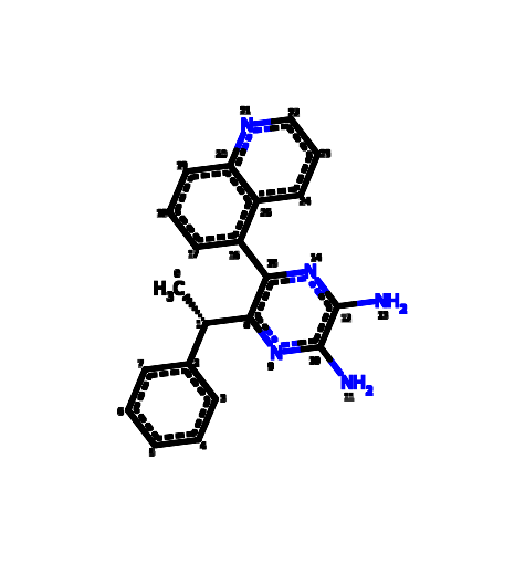 C[C@@H](c1ccccc1)c1nc(N)c(N)nc1-c1cccc2ncccc12